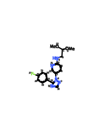 COC(CNc1ccc(-n2ncnc2-c2ccc(F)cc2)cn1)OC